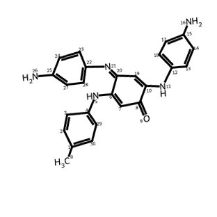 Cc1ccc(NC2=CC(=O)C(Nc3ccc(N)cc3)=C/C2=N/c2ccc(N)cc2)cc1